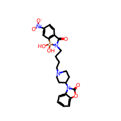 O=C1c2ccc([N+](=O)[O-])cc2S(O)(O)N1CCCCN1CCC(n2c(=O)oc3ccccc32)CC1